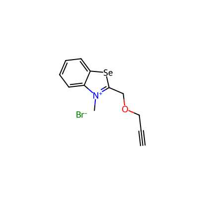 C#CCOCc1[se]c2ccccc2[n+]1C.[Br-]